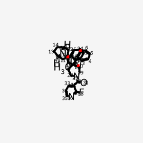 Cc1nc2ccccc2n1C1C[C@H]2CC[C@@H](C1)N2CCC1(c2ccccc2)CCN(C(=O)c2cccnc2F)CC1